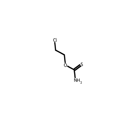 NC(=S)OCCCl